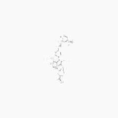 COCc1c(-c2ccc(NC(=O)Nc3cc(C(F)(F)F)ccn3)cc2)c2c(N)ncnn2c1CN1CCC(C(C)=O)CC1